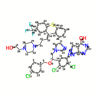 Clc1ccc(COC(Cn2ccnc2)c2ccc(Cl)cc2Cl)cc1.OCCN1CCN(CC/C=C2/c3ccccc3Sc3ccc(C(F)(F)F)cc32)CC1.Oc1ncnc2[nH]ncc12